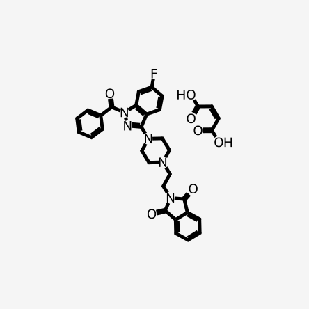 O=C(O)/C=C\C(=O)O.O=C1c2ccccc2C(=O)N1CCN1CCN(c2nn(C(=O)c3ccccc3)c3cc(F)ccc23)CC1